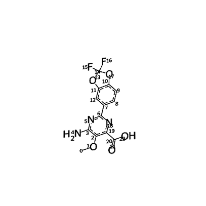 COc1c(N)nc(-c2ccc3c(c2)OC(F)(F)O3)nc1C(=O)O